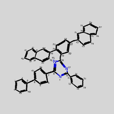 c1ccc(-c2ccc(-c3nc(-c4ccccc4)nc(-c4cc(-c5ccc6ccccc6c5)ccc4-c4ccc5ccccc5c4)n3)cc2)cc1